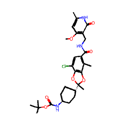 COc1cc(C)[nH]c(=O)c1CNC(=O)c1cc(Cl)c2c(c1C)OC(C)([C@H]1CC[C@H](NC(=O)OC(C)(C)C)CC1)O2